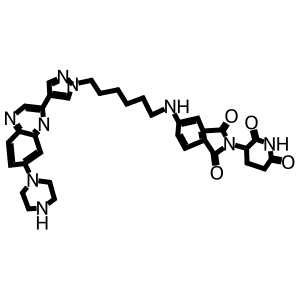 O=C1CCC(N2C(=O)c3ccc(NCCCCCCn4cc(-c5cnc6ccc(N7CCNCC7)cc6n5)cn4)cc3C2=O)C(=O)N1